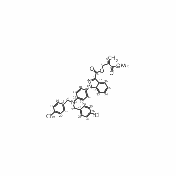 C=C(COC(=O)c1nn(-c2ccc(N(Cc3ccc(Cl)cc3)Cc3ccc(Cl)cc3)cc2)c2ccccc12)C(=O)OC